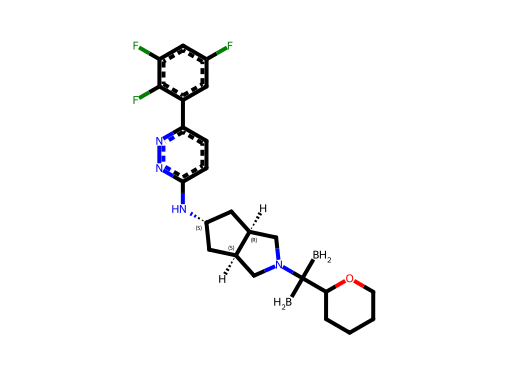 BC(B)(C1CCCCO1)N1C[C@H]2C[C@H](Nc3ccc(-c4cc(F)cc(F)c4F)nn3)C[C@H]2C1